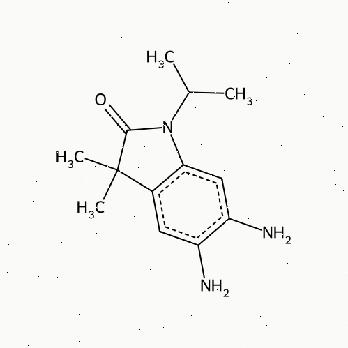 CC(C)N1C(=O)C(C)(C)c2cc(N)c(N)cc21